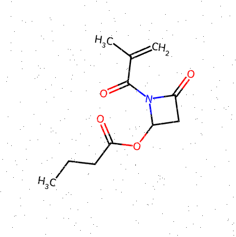 C=C(C)C(=O)N1C(=O)CC1OC(=O)CCC